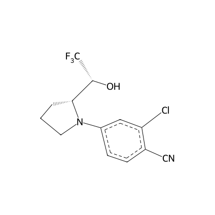 N#Cc1ccc(N2CCC[C@@H]2[C@@H](O)C(F)(F)F)cc1Cl